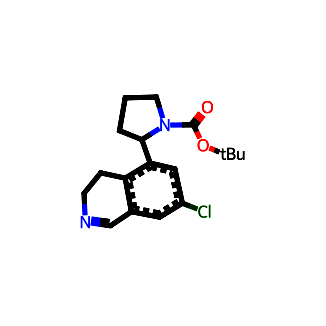 CC(C)(C)OC(=O)N1CCCC1c1cc(Cl)cc2c1CCN=C2